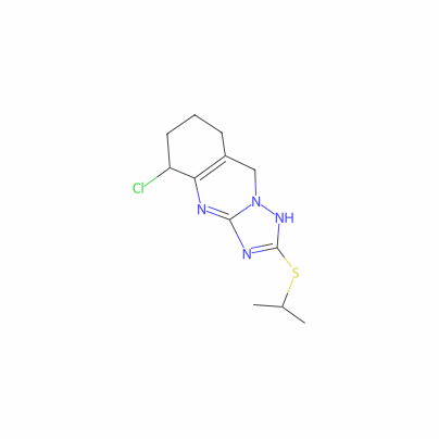 CC(C)SC1=NC2=NC3=C(CCCC3Cl)CN2N1